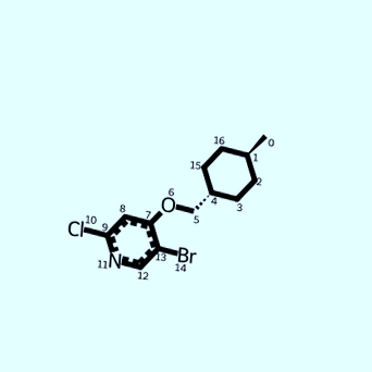 C[C@H]1CC[C@H](COc2cc(Cl)ncc2Br)CC1